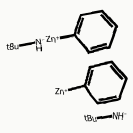 CC(C)(C)[NH-].CC(C)(C)[NH-].[Zn+][c]1ccccc1.[Zn+][c]1ccccc1